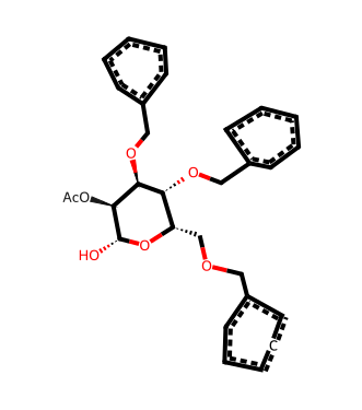 CC(=O)O[C@H]1[C@@H](OCc2ccccc2)[C@H](OCc2ccccc2)[C@H](COCc2ccccc2)O[C@@H]1O